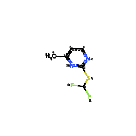 Cc1ccnc(SC(F)F)n1